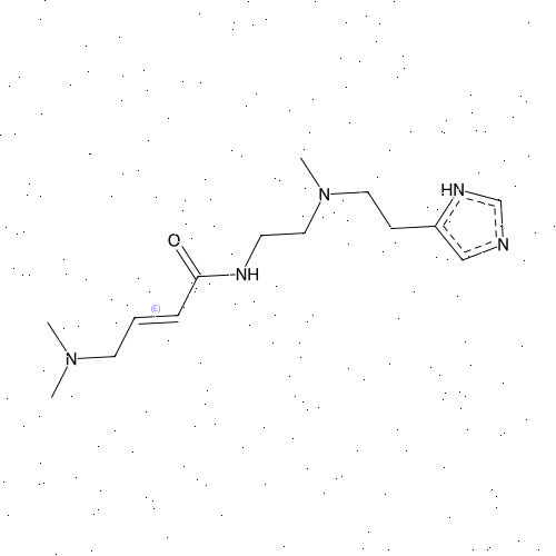 CN(C)C/C=C/C(=O)NCCN(C)CCc1cnc[nH]1